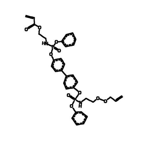 C=CCOOCCNP(=O)(Oc1ccccc1)Oc1ccc(-c2ccc(OP(=O)(NCCOC(=O)C=C)Oc3ccccc3)cc2)cc1